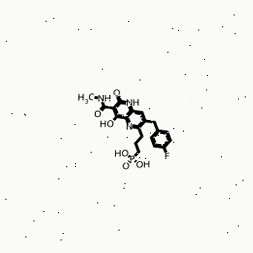 CNC(=O)c1c(O)c2nc(CCCP(=O)(O)O)c(Cc3ccc(F)cc3)cc2[nH]c1=O